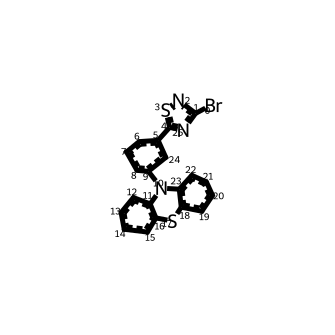 Brc1nsc(-c2cccc(N3c4ccccc4Sc4ccccc43)c2)n1